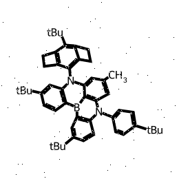 Cc1cc2c3c(c1)N(c1c4c(c(C(C)(C)C)c5c1CC5)CC4)c1cc(C(C)(C)C)ccc1B3c1cc(C(C)(C)C)ccc1N2c1ccc(C(C)(C)C)cc1